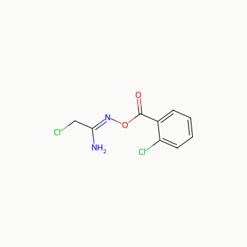 NC(CCl)=NOC(=O)c1ccccc1Cl